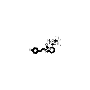 CC(C)(C)OC(=O)[C@@H]1CCCc2nn(CCc3ccc(F)cc3)c(=O)n21